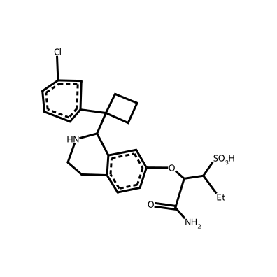 CCC(C(Oc1ccc2c(c1)C(C1(c3cccc(Cl)c3)CCC1)NCC2)C(N)=O)S(=O)(=O)O